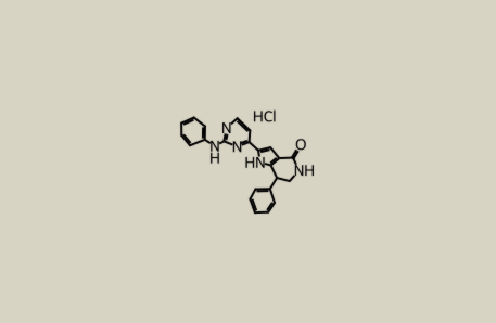 Cl.O=C1NCC(c2ccccc2)c2[nH]c(-c3ccnc(Nc4ccccc4)n3)cc21